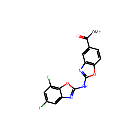 COC(=O)c1ccc2oc(Nc3nc4cc(F)cc(F)c4o3)nc2c1